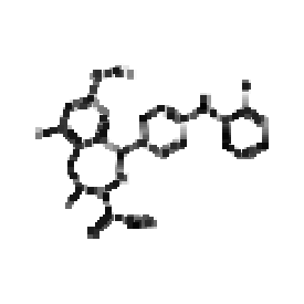 CNC(=O)N1N=C(c2ccc(Nc3ccccc3F)cc2)c2cc(OC(F)(F)F)cc(F)c2CC1C